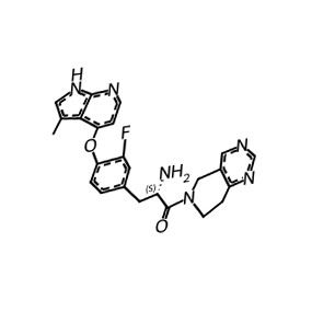 Cc1c[nH]c2nccc(Oc3ccc(C[C@H](N)C(=O)N4CCc5ncncc5C4)cc3F)c12